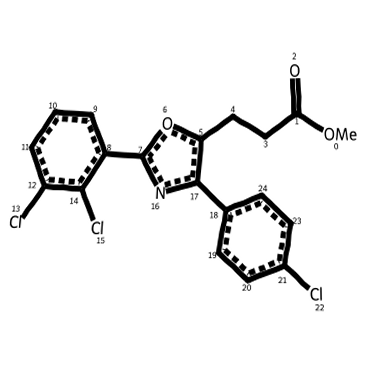 COC(=O)CCc1oc(-c2cccc(Cl)c2Cl)nc1-c1ccc(Cl)cc1